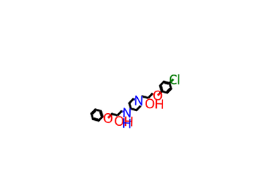 OC(CNC1CCN(CC(O)COc2ccc(Cl)cc2)CC1)COc1ccccc1